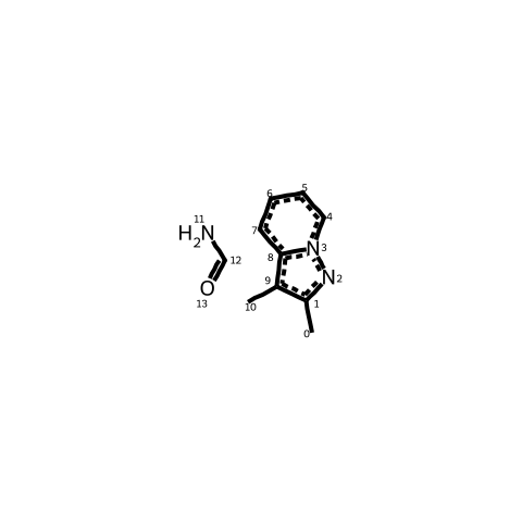 Cc1nn2ccccc2c1C.NC=O